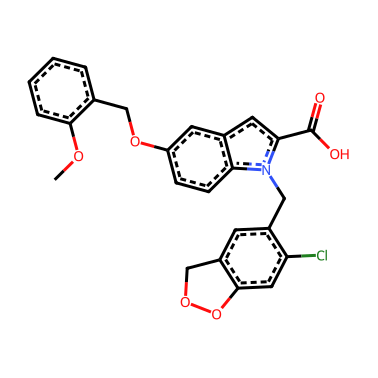 COc1ccccc1COc1ccc2c(c1)cc(C(=O)O)n2Cc1cc2c(cc1Cl)OOC2